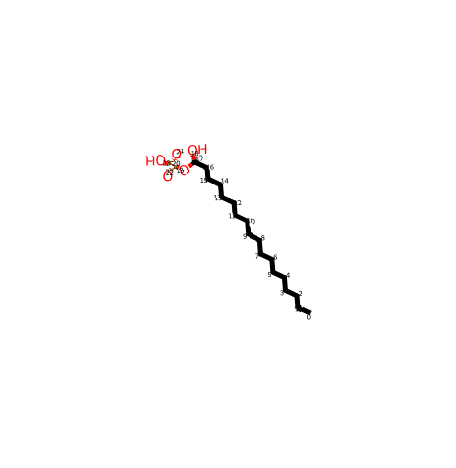 CCCCCCCCCCCCCCCCCC(O)OS(=O)(=O)O